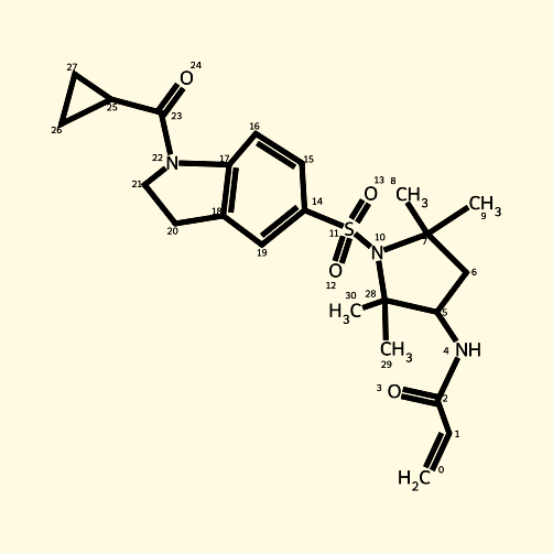 C=CC(=O)NC1CC(C)(C)N(S(=O)(=O)c2ccc3c(c2)CCN3C(=O)C2CC2)C1(C)C